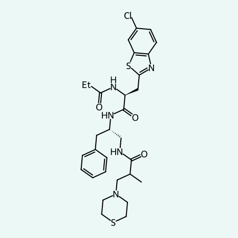 CCC(=O)N[C@@H](Cc1nc2ccc(Cl)cc2s1)C(=O)N[C@H](CNC(=O)C(C)CN1CCSCC1)Cc1ccccc1